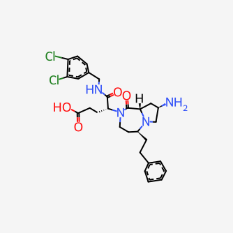 N[C@@H]1C[C@H]2C(=O)N([C@H](CCC(=O)O)C(=O)NCc3ccc(Cl)c(Cl)c3)CC[C@H](CCc3ccccc3)N2C1